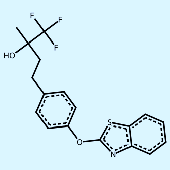 CC(O)(CCc1ccc(Oc2nc3ccccc3s2)cc1)C(F)(F)F